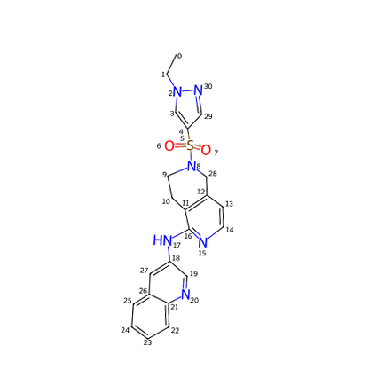 CCn1cc(S(=O)(=O)N2CCc3c(ccnc3Nc3cnc4ccccc4c3)C2)cn1